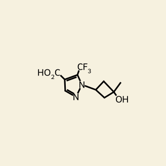 CC1(O)CC(n2ncc(C(=O)O)c2C(F)(F)F)C1